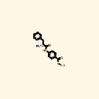 CC(C)(C)OC(=O)c1ccc(NC(=O)[C@H](O)Cc2ccccc2)cc1